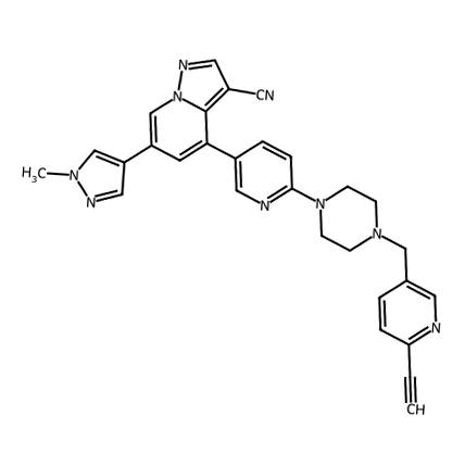 C#Cc1ccc(CN2CCN(c3ccc(-c4cc(-c5cnn(C)c5)cn5ncc(C#N)c45)cn3)CC2)cn1